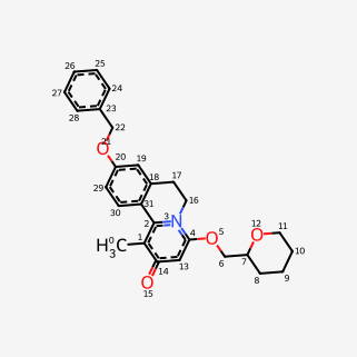 Cc1c2n(c(OCC3CCCCO3)cc1=O)CCc1cc(OCc3ccccc3)ccc1-2